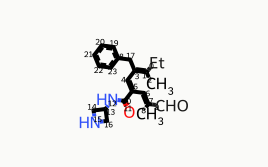 CC/C(C)=C(/C=C(\C=C(/C)C=O)C(=O)NC1CNC1)Cc1ccccc1